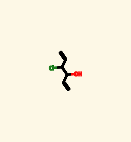 C=C[C](Cl)C(O)C=C